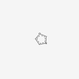 [c]1cn[c]o1